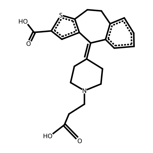 O=C(O)CCN1CCC(=C2c3ccccc3CCc3sc(C(=O)O)cc32)CC1